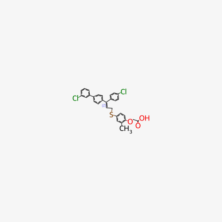 Cc1cc(SC/C=C(\c2ccc(Cl)cc2)c2ccc(-c3cccc(Cl)c3)cc2)ccc1OCC(=O)O